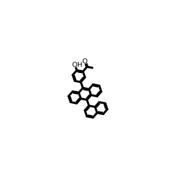 CC(=O)c1cc(-c2c3ccccc3c(-c3cccc4ccccc34)c3ccccc23)ccc1O